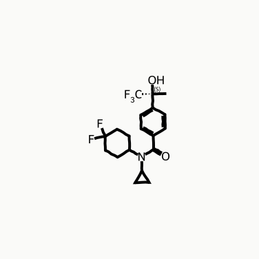 C[C@](O)(c1ccc(C(=O)N(C2CC2)C2CCC(F)(F)CC2)cc1)C(F)(F)F